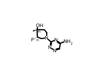 C[C@@]1(O)CCN(c2nncc(N)n2)C[C@@H]1F